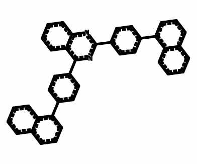 c1ccc2c(-c3ccc(-c4nc(-c5ccc(-c6cccc7ccccc67)cc5)c5ccccc5n4)cc3)cccc2c1